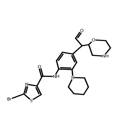 O=CC(c1ccc(NC(=O)c2csc(Br)n2)c(N2CCCCC2)c1)C1CNCCO1